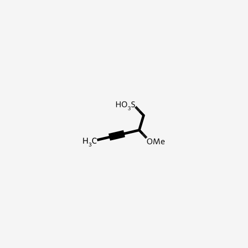 CC#CC(CS(=O)(=O)O)OC